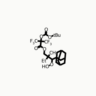 CCC(C)(COC(=O)C(OC(=O)OC(C)(C)C)(C(F)(F)F)C(F)(F)F)C(OO)C12CC3CC(CC(C3)C1)C2